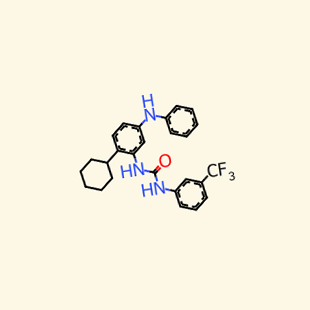 O=C(Nc1cccc(C(F)(F)F)c1)Nc1cc(Nc2ccccc2)ccc1C1CCCCC1